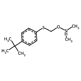 C[SiH](C)OCSc1ccc(C(C)(C)C)cc1